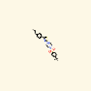 CCCc1ccc(-c2csc(N3CCN(S(=O)(=O)c4ccc(C(C)(C)C)cc4)CC3)n2)cc1